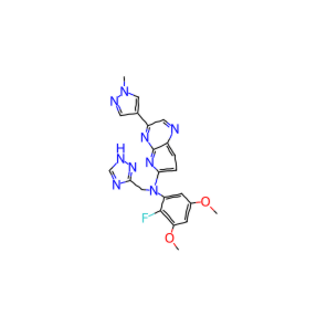 COc1cc(OC)c(F)c(N(Cc2nc[nH]n2)c2ccc3ncc(-c4cnn(C)c4)nc3n2)c1